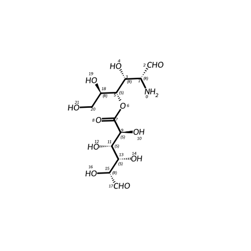 N[C@@H](C=O)[C@@H](O)[C@H](OC(=O)[C@@H](O)[C@@H](O)[C@H](O)[C@@H](O)C=O)[C@H](O)CO